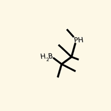 BC(C)(C)C(C)(C)PC